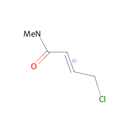 CNC(=O)/C=C/CCl